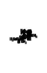 CCOC(=O)c1oc2ccc(S(=O)(=O)NC(C)c3cccc(N4CC(F)(F)C4)c3)cc2c1C